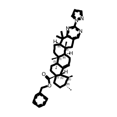 C[C@H]1[C@H](C)CC[C@]2(C(=O)OCc3ccccc3)CC[C@]3(C)C(=CC[C@@H]4[C@@]5(C)Cc6cnc(-n7cccn7)nc6C(C)(C)[C@@H]5CC[C@]43C)[C@H]12